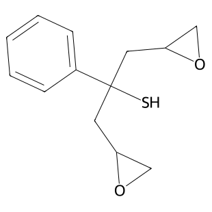 SC(CC1CO1)(CC1CO1)c1ccccc1